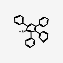 Sc1c(-c2ccccc2)cc(-c2ccccc2)c(-c2ccccc2)c1-c1ccccc1